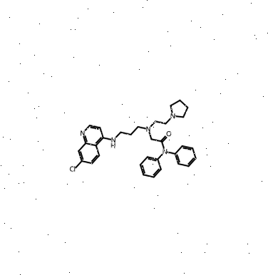 O=C(CN(CCCNc1ccnc2cc(Cl)ccc12)CCN1CCCC1)N(c1ccccc1)c1ccccc1